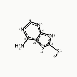 CSc1nc2ncnc(N)c2s1